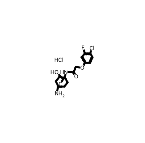 Cl.NC12CCC(NC(=O)COc3ccc(Cl)c(F)c3)(CC1)C(O)C2